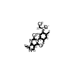 Cc1cc(F)c(-n2c(C(F)(F)F)nc3c(cnn3C)c2=O)cc1[S+]([O-])CC(F)(F)F